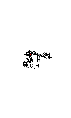 Cc1c(-c2cccnc2C(=O)O)cnn1CC12CC3(C)CC(C)(C1)CC(OCCNCC[C@@H](O)CO)(C3)C2